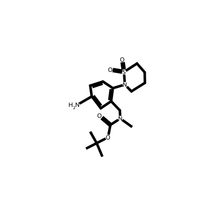 CN(Cc1cc(N)ccc1N1CCCCS1(=O)=O)C(=O)OC(C)(C)C